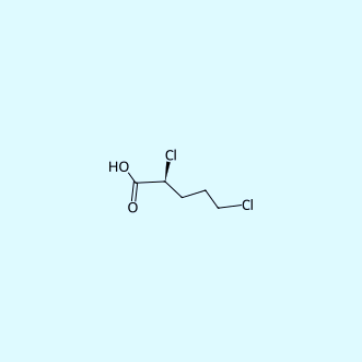 O=C(O)[C@@H](Cl)CCCCl